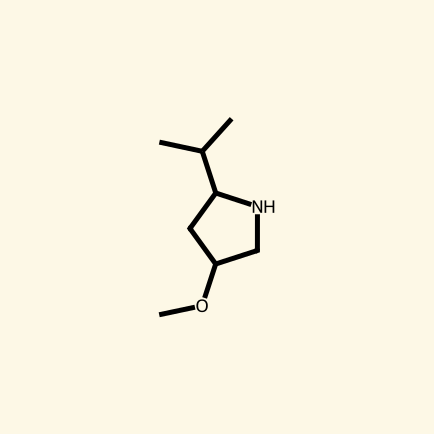 COC1CNC(C(C)C)C1